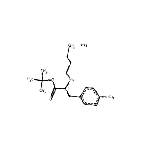 CCCCN[C@@H](Cc1ccc(O)cc1)C(=O)OC(C)(C)C.Cl